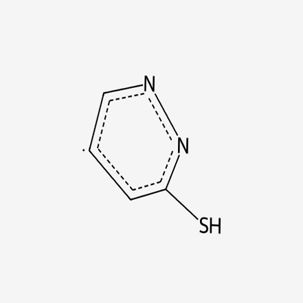 Sc1c[c]cnn1